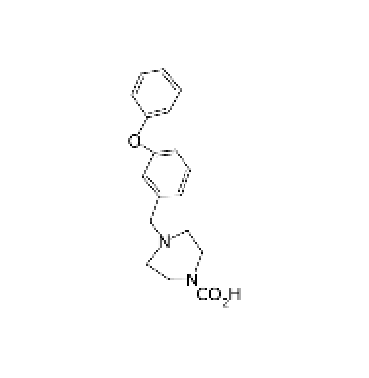 O=C(O)N1CCN(Cc2cccc(Oc3ccccc3)c2)CC1